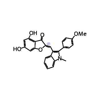 COc1ccc(-c2c(/C=C3\Oc4cc(O)cc(O)c4C3=O)c3ccccc3n2C)cc1